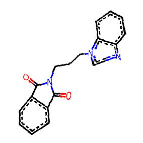 O=C1c2ccccc2C(=O)N1CCCn1cnc2ccccc21